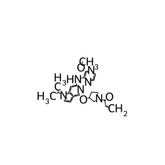 C=CC(=O)N1CCC(Oc2nc(Nc3nccnc3OC)cc3c2ccn3C(C)C)C1